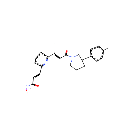 Cl.O=C(C=Cc1cccc(C=CC(=O)N2CCCC(c3ccc(C(F)(F)F)cc3)C2)n1)NO